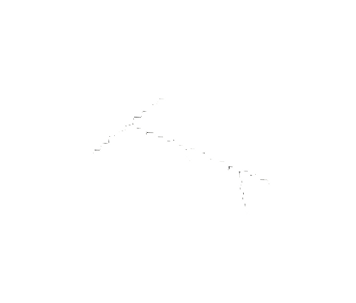 CCCCCCCCCCC(CCCCCCCC)COC(=O)CCCCCCCN(CCO)CCCCCCCC(=O)OC(CCCCCCCC)CCCCCCCC